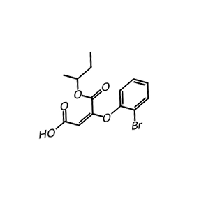 CCC(C)OC(=O)C(=CC(=O)O)Oc1ccccc1Br